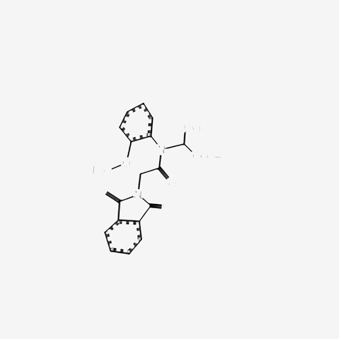 CC(C)(C)C(C(=O)O)N(C(=O)CN1C(=O)c2ccccc2C1=O)c1ccccc1OC(F)(F)F